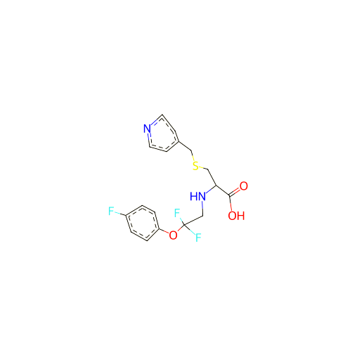 O=C(O)C(CSCc1ccncc1)NCC(F)(F)Oc1ccc(F)cc1